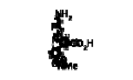 CNS(=O)(=O)c1cccc(-c2cc(C(=O)O)cc3c2ncn3CC(F)=CCN)c1.Cl